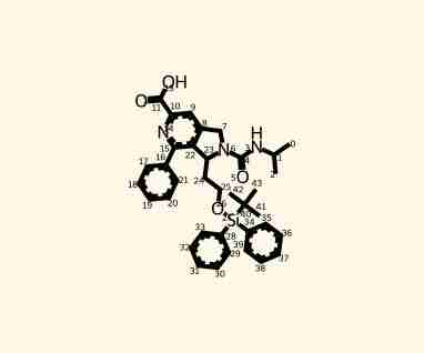 CC(C)NC(=O)N1Cc2cc(C(=O)O)nc(-c3ccccc3)c2C1CCO[Si](c1ccccc1)(c1ccccc1)C(C)(C)C